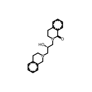 O=C1c2ccccc2CCN1C[C@H](O)CN1CCc2ccccc2C1